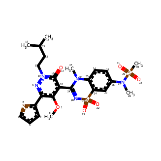 COc1c(-c2cccs2)nn(CCC(C)C)c(=O)c1C1=NS(=O)(=O)c2cc(N(C)S(C)(=O)=O)ccc2N1C